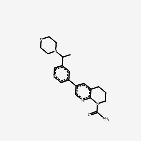 CC(c1cncc(-c2cnc3c(c2)CCCN3C(N)=O)c1)N1CCOCC1